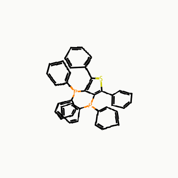 c1ccc(-c2sc(-c3ccccc3)c(P(c3ccccc3)c3ccccc3)c2P(c2ccccc2)c2ccccc2)cc1